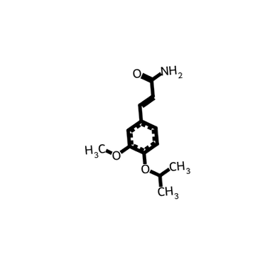 COc1cc(C=CC(N)=O)ccc1OC(C)C